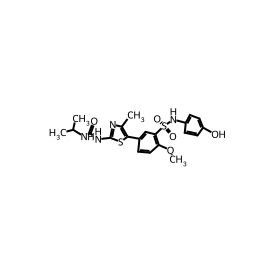 COc1ccc(-c2sc(NC(=O)NC(C)C)nc2C)cc1S(=O)(=O)Nc1ccc(O)cc1